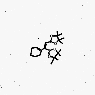 CC1(C)OB(C=C(B2OC(C)(C)C(C)(C)O2)C2=CCCCC2)OC1(C)C